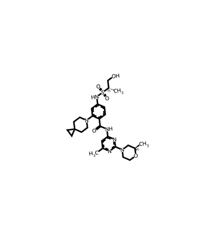 Cc1cc(NC(=O)c2ccc(NS(=O)(=O)[C@@H](C)CO)cc2N2CCC3(CC2)CC3)nc(N2CCO[C@H](C)C2)n1